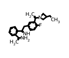 C=C(N)c1ccccc1C(=N)Cc1ccc(F)c(C(=C)N2CC(CC)C2)c1